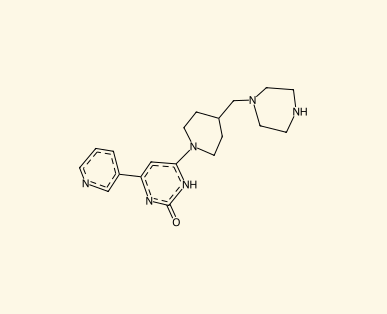 O=c1nc(-c2cccnc2)cc(N2CCC(CN3CCNCC3)CC2)[nH]1